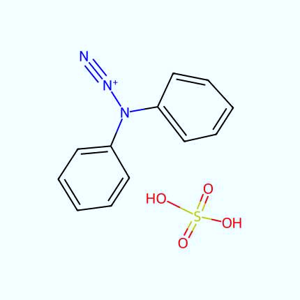 N#[N+]N(c1ccccc1)c1ccccc1.O=S(=O)(O)O